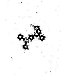 CC(C)c1ccc2ccc3c(-c4ccccc4)cc(-c4ccc(-c5nc(-c6ccccc6)nc(-c6ccccn6)n5)cc4)nc3c2n1